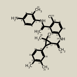 C=C(Nc1ccc(N)cc1C)c1cc(NC(=C)C2C(c3ccc(C)c(C)c3)C2(C)Cl)ccc1Cl